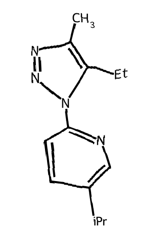 CCc1c(C)nnn1-c1ccc(C(C)C)cn1